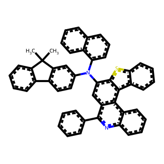 CC1(C)c2ccccc2-c2ccc(N(c3cccc4ccccc34)c3cc4c(-c5ccccc5)nc5ccccc5c4c4c3sc3ccccc34)cc21